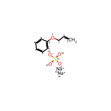 C=CCOc1ccccc1.O=S(=O)([O-])[O-].[Na+].[Na+]